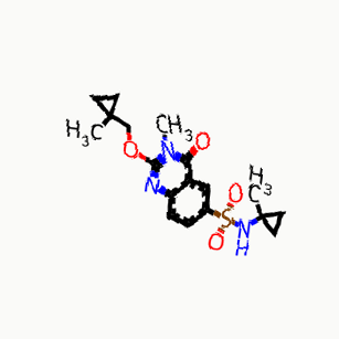 Cn1c(OCC2(C)CC2)nc2ccc(S(=O)(=O)NC3(C)CC3)cc2c1=O